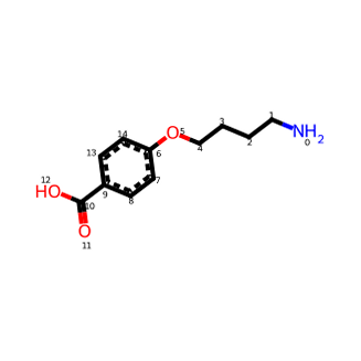 NCCCCOc1ccc(C(=O)O)cc1